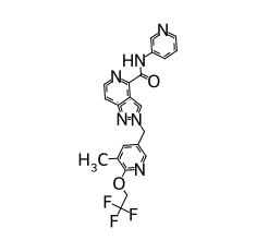 Cc1cc(Cn2cc3c(C(=O)Nc4cccnc4)nccc3n2)cnc1OCC(F)(F)F